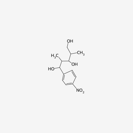 CC(CO)C(O)C(C)C(O)c1ccc([N+](=O)[O-])cc1